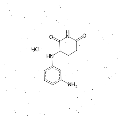 Cl.Nc1cccc(NC2CCC(=O)NC2=O)c1